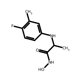 Cc1cc(NC(C)C(=O)NO)ccc1F